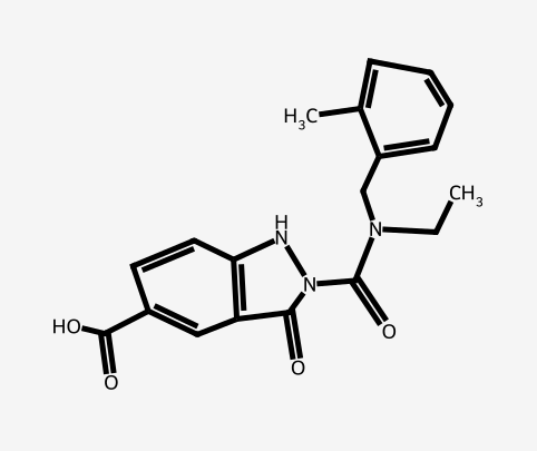 CCN(Cc1ccccc1C)C(=O)n1[nH]c2ccc(C(=O)O)cc2c1=O